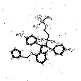 CC(C)(CCO[Si](C)(C)C(C)(C)C)c1c(-c2ccc(C(=O)O)cc2)c2c(OCc3ccccc3)cccc2n1-c1ccc(F)cc1